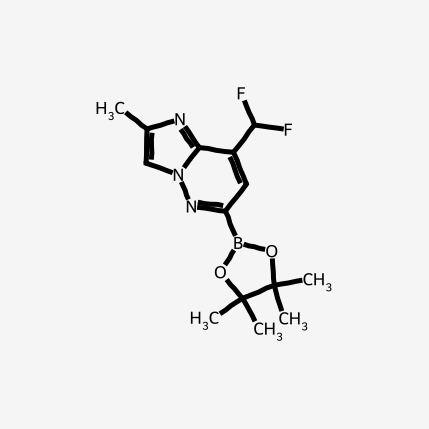 Cc1cn2nc(B3OC(C)(C)C(C)(C)O3)cc(C(F)F)c2n1